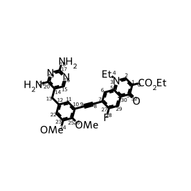 CCOC(=O)c1cn(CC)c2cc(C#Cc3cc(Cc4cnc(N)nc4N)cc(OC)c3OC)c(F)cc2c1=O